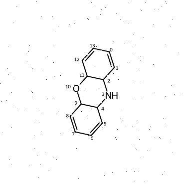 C1=CC2NC3C=CC=CC3OC2C=C1